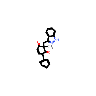 CC1(Cc2n[nH]c3ccccc23)C(=O)C=CC(c2ccccc2)C1=O